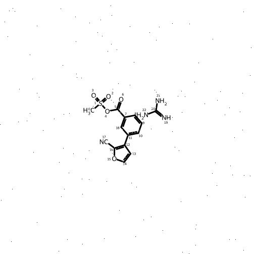 CS(=O)(=O)OC(=O)c1cccc(-c2ccoc2C#N)c1.N=C(N)N